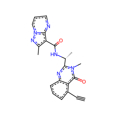 C#Cc1cccc2nc([C@@H](C)NC(=O)c3c(C)nn4cccnc34)n(C)c(=O)c12